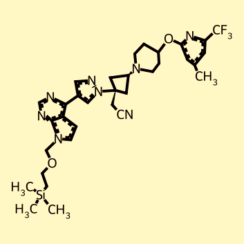 Cc1cc(OC2CCN([C@H]3C[C@](CC#N)(n4cc(-c5ncnc6c5ccn6COCC[Si](C)(C)C)cn4)C3)CC2)nc(C(F)(F)F)c1